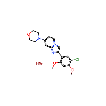 Br.COc1cc(OC)c(-c2cn3ccc(N4CCOCC4)cc3n2)cc1Cl